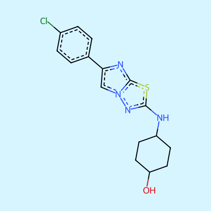 OC1CCC(Nc2nn3cc(-c4ccc(Cl)cc4)nc3s2)CC1